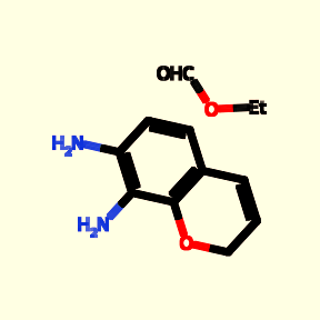 CCOC=O.Nc1ccc2c(c1N)OCC=C2